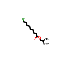 CCCCCCC(CCCC)COC(=O)CCCCCCCCBr